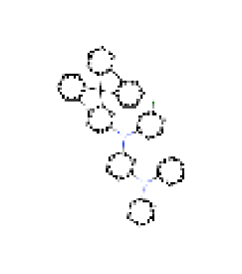 Clc1cccc(N(c2cccc(N(c3ccccc3)c3ccccc3)c2)c2ccc3c(c2)C2(c4ccccc4-c4ccccc42)c2ccccc2-3)c1